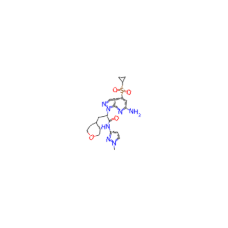 Cn1ccc(NC(=O)C(CC2CCOCC2)n2ncc3c(S(=O)(=O)C4CC4)cc(N)nc32)n1